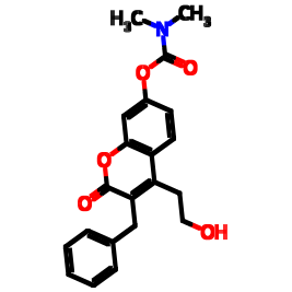 CN(C)C(=O)Oc1ccc2c(CCO)c(Cc3ccccc3)c(=O)oc2c1